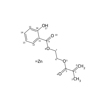 C=C(C)C(=O)OCCOC(=O)c1ccccc1O.[Zn]